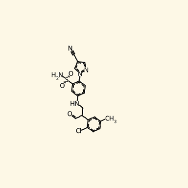 Cc1ccc(Cl)c(C(C=O)CNc2ccc(-n3cc(C#N)cn3)c(S(N)(=O)=O)c2)c1